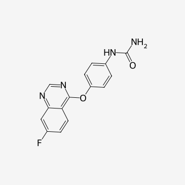 NC(=O)Nc1ccc(Oc2ncnc3cc(F)ccc23)cc1